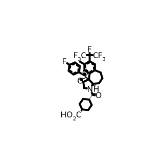 Cc1cc2c(cc1C(F)(C(F)(F)F)C(F)(F)F)CCC[C@@H]1N(C(=O)[C@H]3CC[C@H](C(=O)O)CC3)CC[C@]21S(=O)(=O)c1ccc(F)cc1